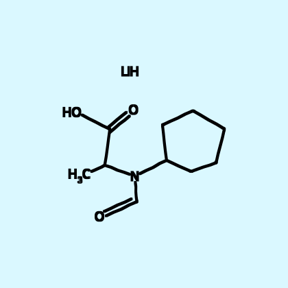 CC(C(=O)O)N(C=O)C1CCCCC1.[LiH]